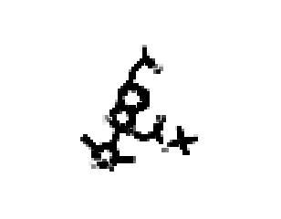 CC(=O)Cc1ccc2c(c1)nc(-c1c(C)noc1C)n2CC(=O)OC(C)(C)C